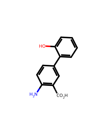 Nc1ccc(-c2ccccc2O)cc1C(=O)O